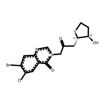 O=C(C[C@@H]1SCC[C@H]1O)Cn1cnc2cc(Br)c(Cl)cc2c1=O